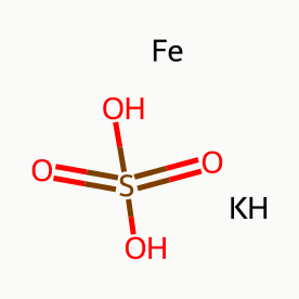 O=S(=O)(O)O.[Fe].[KH]